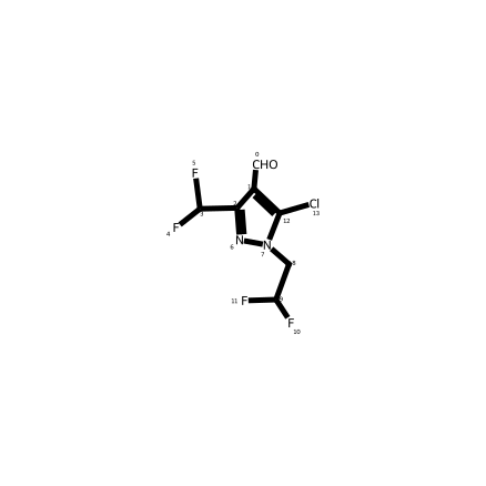 O=Cc1c(C(F)F)nn(CC(F)F)c1Cl